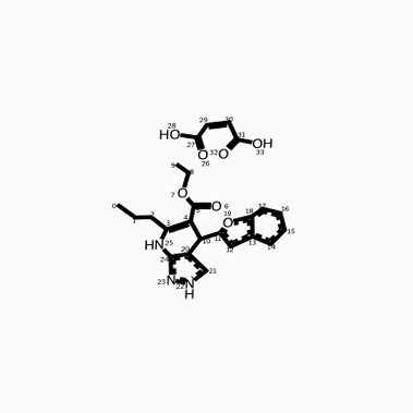 CCCC1=C(C(=O)OCC)C(c2cc3ccccc3o2)c2c[nH]nc2N1.O=C(O)/C=C\C(=O)O